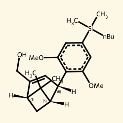 CCCC[Si](C)(C)c1cc(OC)c([C@H]2C=C(CO)[C@H]3C[C@@H]2C3(C)C)c(OC)c1